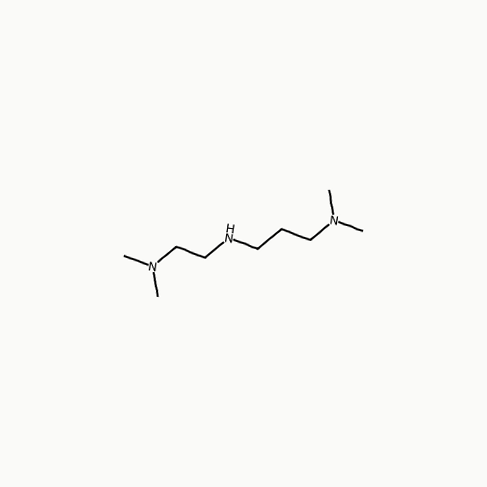 CN(C)CCCNCCN(C)C